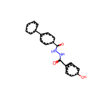 O=C(NNC(=O)c1ccc(-c2ccccc2)cc1)c1ccc(O)cc1